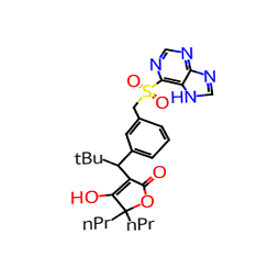 CCCC1(CCC)OC(=O)C(C(c2cccc(CS(=O)(=O)c3ncnc4nc[nH]c34)c2)C(C)(C)C)=C1O